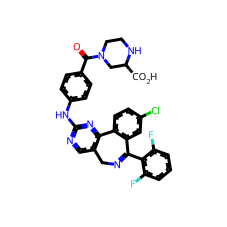 O=C(O)C1CN(C(=O)c2ccc(Nc3ncc4c(n3)-c3ccc(Cl)cc3C(c3c(F)cccc3F)=NC4)cc2)CCN1